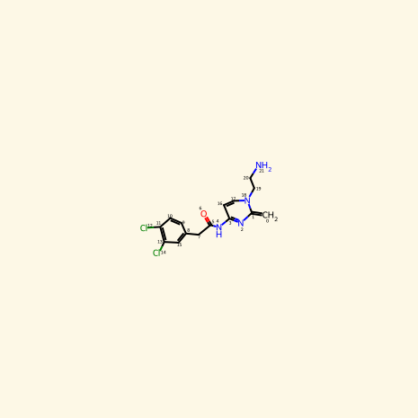 C=C1N=C(NC(=O)Cc2ccc(Cl)c(Cl)c2)C=CN1CCN